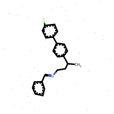 CC(CCN=Cc1ccccc1)c1ccc(-c2ccc(F)cc2)cc1